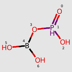 O=[PH](O)OB(O)O